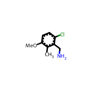 COc1ccc(Cl)c(CN)c1C